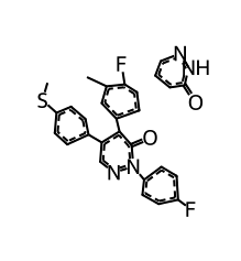 CSc1ccc(-c2cnn(-c3ccc(F)cc3)c(=O)c2-c2ccc(F)c(C)c2)cc1.O=c1cccn[nH]1